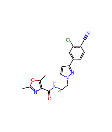 Cc1nc(C(=O)N[C@@H](C)Cn2ccc(-c3ccc(C#N)c(Cl)c3)n2)c(C)o1